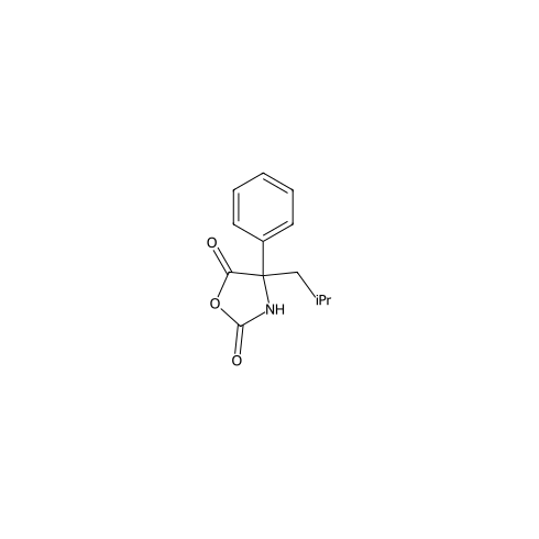 CC(C)CC1(c2ccccc2)NC(=O)OC1=O